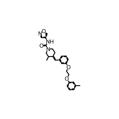 Cc1cccc(OCCOc2cccc(C=C3CCN(C(=O)Nc4cnoc4)CC3C)c2)c1